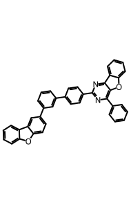 c1ccc(-c2nc(-c3ccc(-c4cccc(-c5ccc6oc7ccccc7c6c5)c4)cc3)nc3c2oc2ccccc23)cc1